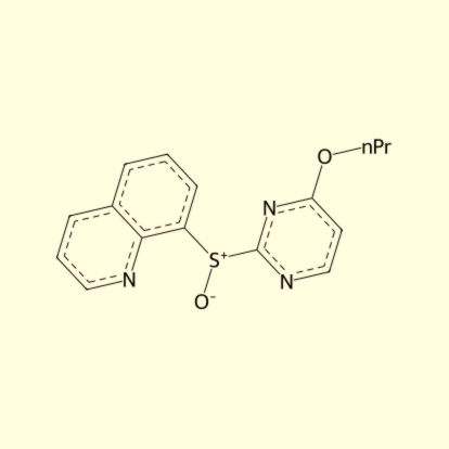 CCCOc1ccnc([S+]([O-])c2cccc3cccnc23)n1